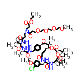 C=CCOC(=O)CCN(CCC(=O)N[C@H](C(=O)N[C@@H](C)C(=O)NCc1ccc([C@H]2O[C@@H]2[C@@H](C)[C@@H]2C/C=C/C(=O)N[C@H](Cc3ccc(OC)c(Cl)c3)C(=O)NCC(C)(C)C(=O)O[C@@H](CC(C)C)C(=O)O2)cc1)C(C)C)C(=O)CCOCCOCCOCCOC